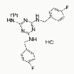 CCCNc1nc(NCc2ccc(F)cc2)nc(NCc2ccc(F)cc2)n1.Cl